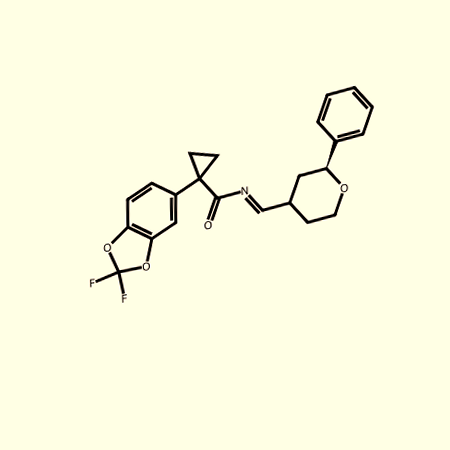 O=C(/N=C/C1CCO[C@H](c2ccccc2)C1)C1(c2ccc3c(c2)OC(F)(F)O3)CC1